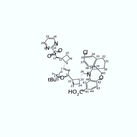 CC(C)(C)[Si](C)(C)O[C@@H](/C=C/[C@H]1CC[C@@H]1CS(=O)(=O)c1ncccn1)[C@@H]1CC[C@H]1CN1CC2(CCCc3cc(Cl)ccc32)COc2ccc(C(=O)O)cc21